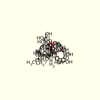 CC(C)C[C@H](N)C(=O)N[C@H]1C(=O)N[C@@H](CC(N)=O)C(=O)N[C@H]2C(=O)N[C@H]3C(=O)N[C@H](C(=O)N[C@H](C(=O)O)c4cc(O)cc(O)c4-c4cc3ccc4O)[C@H](O)c3ccc(c(Cl)c3)Oc3cc2cc(c3OC2O[C@H](CO)[C@@H](O)[C@H](O)C2O[C@H]2C[C@](C)(NC(=O)OC(C)(C)C)[C@H](O)[C@H](C)O2)Oc2ccc(cc2Cl)[C@H]1O